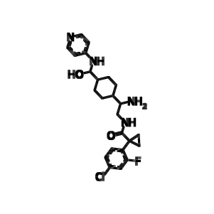 NC(CNC(=O)C1(c2ccc(Cl)cc2F)CC1)C1CCC(C(O)Nc2ccncc2)CC1